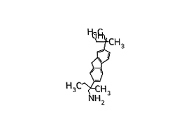 CCC(C)(CC)c1ccc2c(c1)Cc1cc(C(C)(CC)CN)ccc1-2